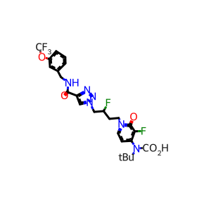 CC(C)(C)N(C(=O)O)c1ccn(CCC(F)Cn2cc(C(=O)NCc3cccc(OC(F)(F)F)c3)nn2)c(=O)c1F